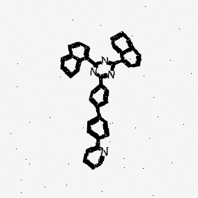 c1ccc(-c2ccc(-c3ccc(-c4nc(-c5cccc6ccccc56)nc(-c5cccc6ccccc56)n4)cc3)cc2)nc1